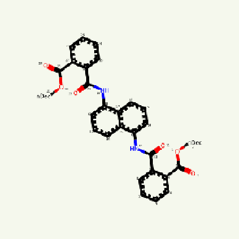 CCCCCCCCCCOC(=O)c1ccccc1C(=O)Nc1cccc2c(NC(=O)c3ccccc3C(=O)OCCCCCCCCCC)cccc12